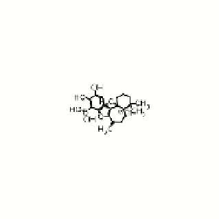 C=C1CC[C@@H]2C(C)(C)CCC[C@@]2(C)c2c1oc1c(B(O)O)c(O)c(O)cc21